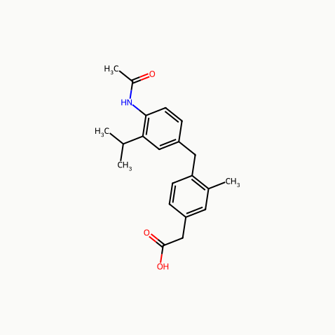 CC(=O)Nc1ccc(Cc2ccc(CC(=O)O)cc2C)cc1C(C)C